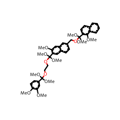 COc1ccc(C(OC)(OC)OCCOC(OC)(OC)c2cc3ccc(COC(OC)(OC)c4ccc5ccccc5c4OC)cc3cc2OC)cc1OC